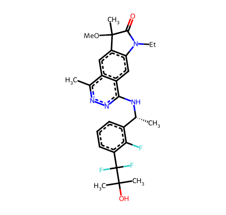 CCN1C(=O)C(C)(OC)c2cc3c(C)nnc(N[C@H](C)c4cccc(C(F)(F)C(C)(C)O)c4F)c3cc21